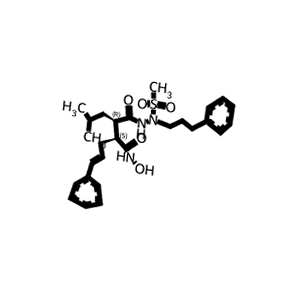 CC(C)C[C@@H](C(=O)NN(CCCc1ccccc1)S(C)(=O)=O)[C@H](CC=Cc1ccccc1)C(=O)NO